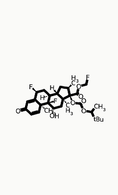 CC(OC(=O)O[C@]1(C(=O)OCF)[C@H](C)C[C@H]2[C@@H]3C[C@H](F)C4=CC(=O)C=C[C@]4(C)[C@@]3(F)[C@@H](O)C[C@@]21C)C(C)(C)C